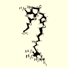 CCCCOc1nc(N)c2[nH]c(=O)n(Cc3ccc(OCCCCNCCC(O[SiH](C)C)C(C)(C)C)nc3)c2n1